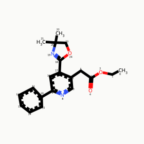 CCOC(=O)Cc1cnc(-c2ccccc2)cc1C1=NC(C)(C)CO1